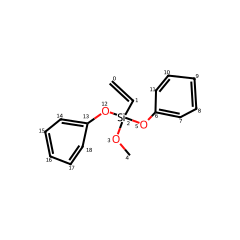 C=C[Si](OC)(Oc1ccccc1)Oc1ccccc1